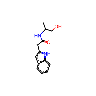 CC(CO)NC(=O)[CH]c1cc2ccccc2[nH]1